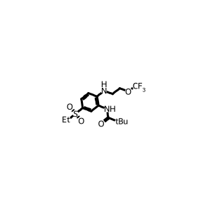 CCS(=O)(=O)c1ccc(NCCOC(F)(F)F)c(NC(=O)C(C)(C)C)c1